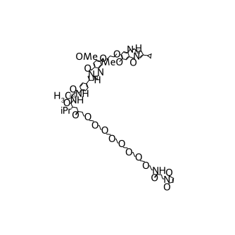 COc1cc2c(cc1OCCCOc1cc3c(cc1OC)C(=O)N1C=C(C4CC4)C[C@H]1C=N3)N=C[C@@H]1CC(c3ccc(NC(=O)[C@H](C)NC(=O)C(CC(=O)CCOCCOCCOCCOCCOCCOCCOCCOCCNC(=O)CCN4C(=O)C=CC4=O)C(C)C)cc3)=CN1C2=O